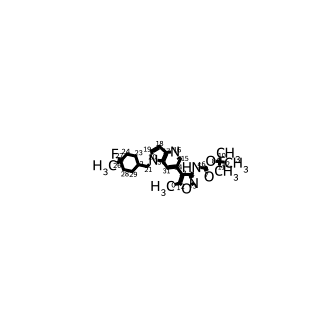 Cc1onc(NC(=O)OC(C)(C)C)c1-c1cnc2ccn(CC3CCC(C)(F)CC3)c2c1